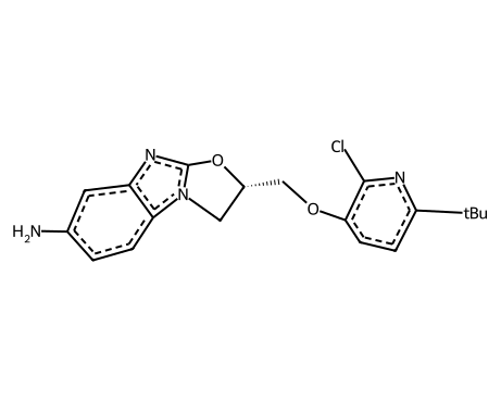 CC(C)(C)c1ccc(OC[C@@H]2Cn3c(nc4cc(N)ccc43)O2)c(Cl)n1